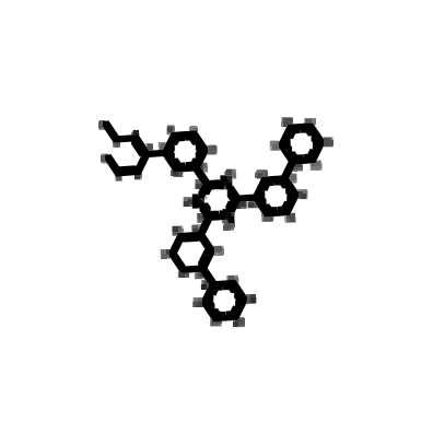 C/C=C\C(=C/CC)c1cccc(-c2nc(C3=CCCC(c4ccccc4)=C3)nc(-c3cccc(-c4ccccc4)c3)n2)c1